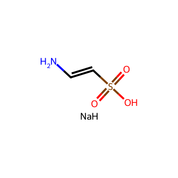 NC=CS(=O)(=O)O.[NaH]